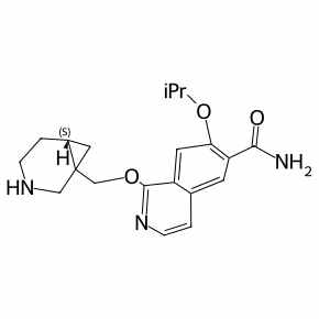 CC(C)Oc1cc2c(OCC34CNCC[C@@H]3C4)nccc2cc1C(N)=O